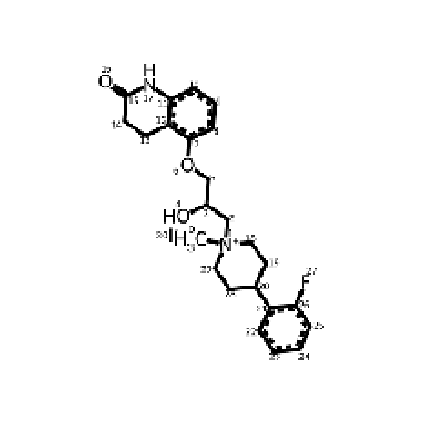 C[N+]1(CC(O)COc2cccc3c2CCC(=O)N3)CCC(c2ccccc2F)CC1.[I-]